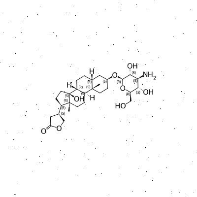 C[C@]12CC[C@H](O[C@@H]3O[C@H](CO)[C@@H](O)[C@H](N)[C@H]3O)C[C@H]1CC[C@@H]1[C@@H]2CC[C@]2(C)[C@@H]([C@H]3COC(=O)C3)CC[C@]12O